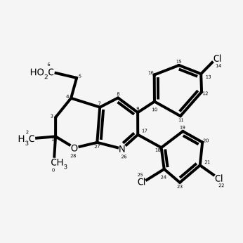 CC1(C)CC(CC(=O)O)c2cc(-c3ccc(Cl)cc3)c(-c3ccc(Cl)cc3Cl)nc2O1